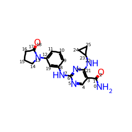 NC(=O)c1cnc(Nc2cccc(N3CCCC3=O)c2)nc1NC1CC1